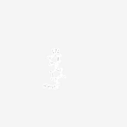 CCC[C@@H](C)Cc1ccc(-c2ccc(C#N)cc2)cc1